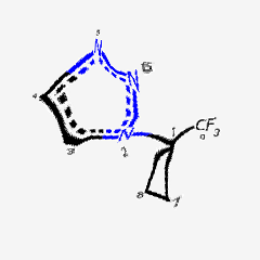 FC(F)(F)C1(n2c[c]nn2)CC1